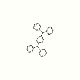 c1ccc(C(c2ccccc2)c2ccc(C(c3ccccc3)c3ccccc3)cc2)cc1